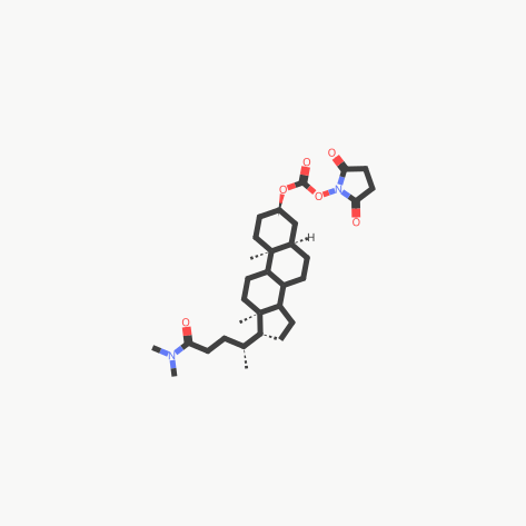 C[C@H](CCC(=O)N(C)C)[C@H]1CCC2C3CC[C@@H]4C[C@H](OC(=O)ON5C(=O)CCC5=O)CC[C@]4(C)C3CC[C@@]21C